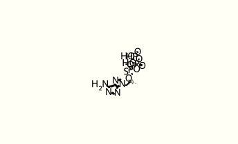 COP(=S)(CO[C@H](C)Cn1cnc2c(N)ncnc21)OP(=O)(O)O[PH](=O)O